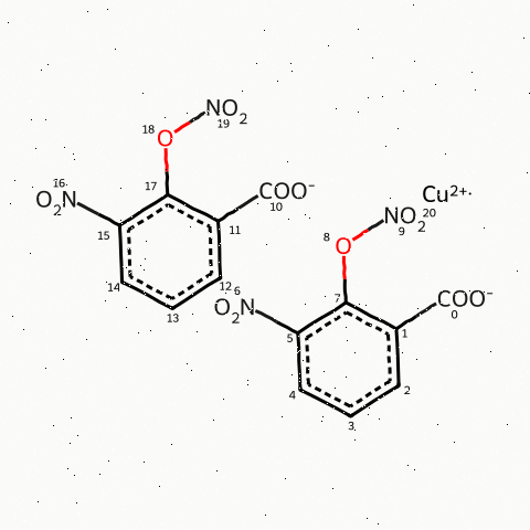 O=C([O-])c1cccc([N+](=O)[O-])c1O[N+](=O)[O-].O=C([O-])c1cccc([N+](=O)[O-])c1O[N+](=O)[O-].[Cu+2]